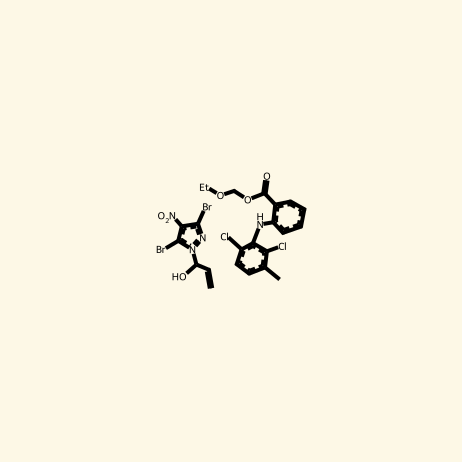 C=CC(O)n1nc(Br)c([N+](=O)[O-])c1Br.CCOCOC(=O)c1ccccc1Nc1c(Cl)ccc(C)c1Cl